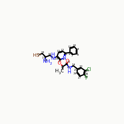 CC(Oc1nc(-c2ccccc2)ccc1NCC(N)CS)C(=O)NCc1ccc(F)c(Cl)c1